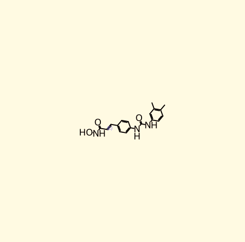 Cc1ccc(NC(=O)Nc2ccc(/C=C/C(=O)NO)cc2)cc1C